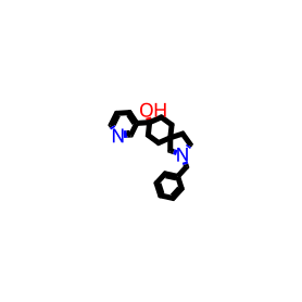 OC1(c2cccnc2)CCC2(CCN(Cc3ccccc3)C2)CC1